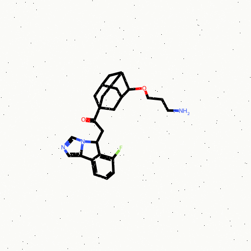 NCCCOC1C2CC3CC1CC(C(=O)CC1c4c(F)cccc4-c4cncn41)(C3)C2